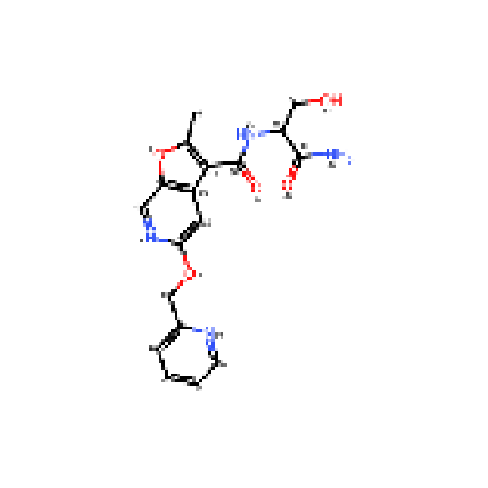 Cc1oc2cnc(OCc3ccccn3)cc2c1C(=O)NC(CO)C(N)=O